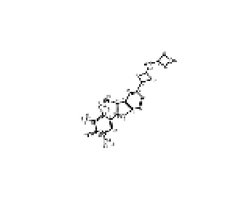 Cc1c(-c2[nH]c3ccc(C4CC(NC5COC5)C4)cc3c2C(C)C)cn(C)c(=O)c1C